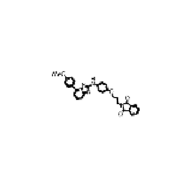 COc1ccc(-c2cccc3nc(Nc4ccc(OCCCN5C(=O)c6ccccc6C5=O)cc4)nn23)cc1